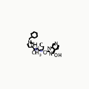 C=C/C(=C\C=C(/C)c1ccn(Cc2ccccc2)n1)Oc1nc(O)c2ccncc2n1